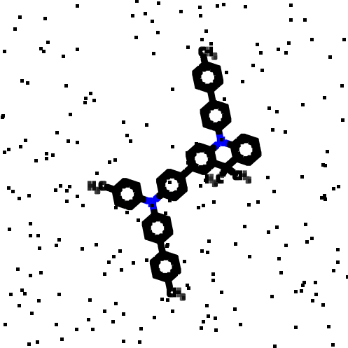 Cc1ccc(-c2ccc(N(c3ccc(C)cc3)c3ccc(-c4ccc5c(c4)C(C)(C)c4ccccc4N5c4ccc(-c5ccc(C)cc5)cc4)cc3)cc2)cc1